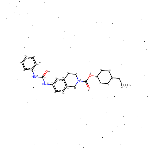 O=C(O)CC1CCC(OC(=O)N2CCc3cc(NC(=O)Nc4ccccc4)ccc3C2)CC1